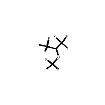 FC(F)(F)OC(C(F)(F)F)C(F)(F)F